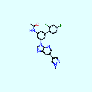 CC(=O)Nc1cc(-c2ccc(F)cc2F)cc(-n2cnc3cc(-c4cnn(C)c4)cnc32)c1